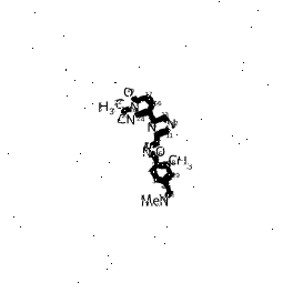 CNCc1ccc(-c2nnc(-c3cncc(-c4ccc(=O)n(C(C)C#N)c4)n3)o2)c(C)c1